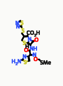 CSCON=C(C(=O)NC1C(=O)N2C(C(=O)O)=C(CSc3nncs3)CS[C@@H]12)c1csc(N)n1